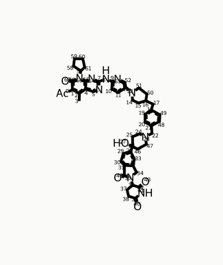 CC(=O)c1c(C)c2cnc(Nc3ccc(N4CCC(Cc5ccc(CN6CCC(O)(c7ccc8c(c7)CN(C7CCC(=O)NC7=O)C8=O)CC6)cc5)CC4)cn3)nc2n(C2CCCC2)c1=O